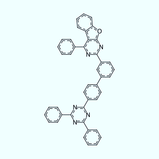 c1ccc(-c2nc(-c3ccccc3)nc(-c3ccc(-c4cccc(-c5nc(-c6ccccc6)c6c(n5)oc5ccccc56)c4)cc3)n2)cc1